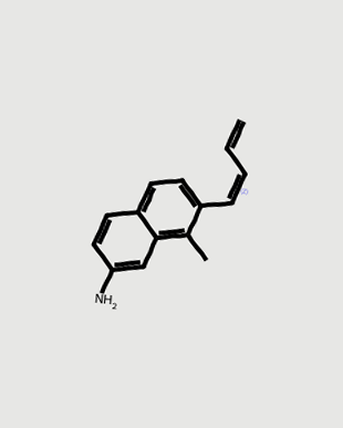 C=C/C=C\c1ccc2ccc(N)cc2c1C